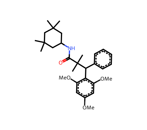 COc1cc(OC)c(C(c2ccccc2)C(C)(C)C(=O)NC2CC(C)(C)CC(C)(C)C2)c(OC)c1